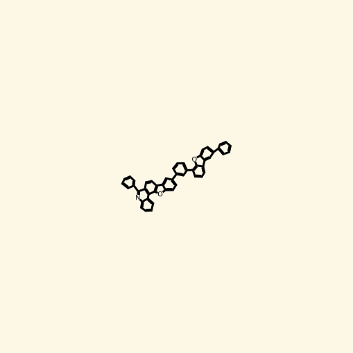 c1ccc(-c2ccc3oc4c(-c5cccc(-c6ccc7oc8c(ccc9c(-c%10ccccc%10)nc%10ccccc%10c98)c7c6)c5)cccc4c3c2)cc1